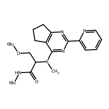 CN(c1nc(-c2ccccn2)nc2c1CCC2)C(COC(C)(C)C)C(=O)NC(C)(C)C